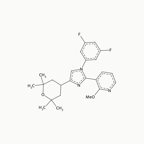 COc1ncccc1-c1nc(C2CC(C)(C)OC(C)(C)C2)cn1-c1cc(F)cc(F)c1